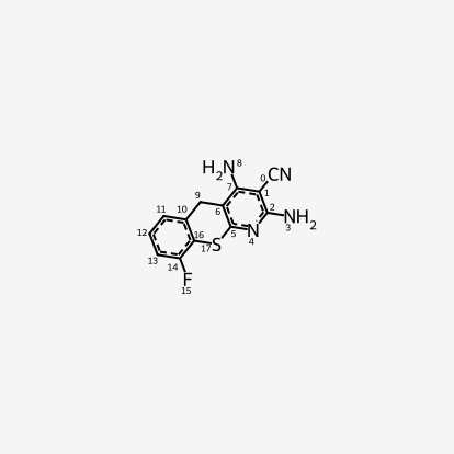 N#Cc1c(N)nc2c(c1N)Cc1cccc(F)c1S2